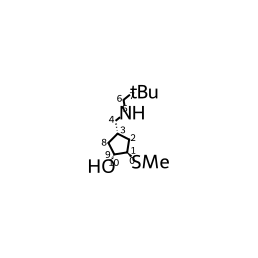 CS[C@@H]1C[C@@H](CNCC(C)(C)C)C[C@H]1O